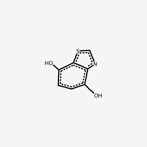 Oc1ccc(O)c2scnc12